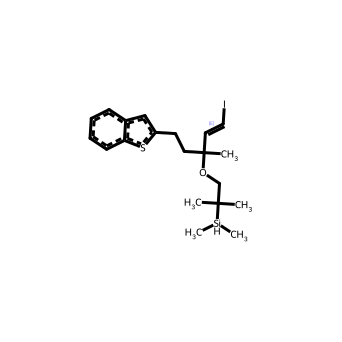 C[SiH](C)C(C)(C)COC(C)(/C=C/I)CCc1cc2ccccc2s1